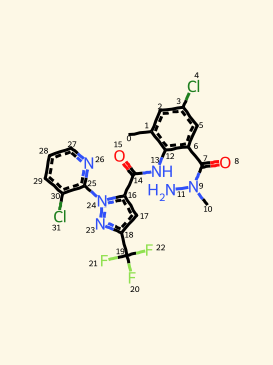 Cc1cc(Cl)cc(C(=O)N(C)N)c1NC(=O)c1cc(C(F)(F)F)nn1-c1ncccc1Cl